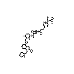 COC(=O)Nc1ccc(CCC(=O)NCC(=O)N(C)c2ccc(C)c(COc3cccc4c3nc(OC)n4Cc3ccccn3)c2C)cn1